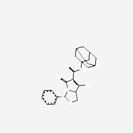 O=C(NC12CC3CC(CC(C3)C1)C2)C1=C(O)C2CS[C@@H](c3ccccc3)N2C1=O